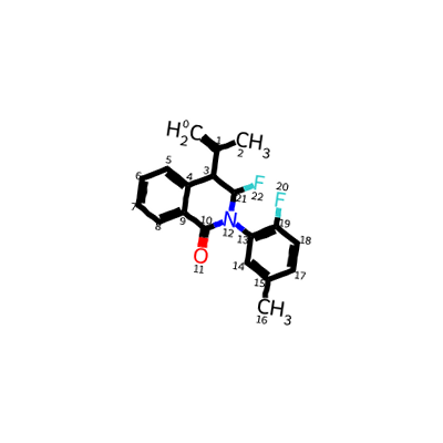 C=C(C)C1c2ccccc2C(=O)N(c2cc(C)ccc2F)C1F